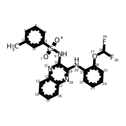 Cc1cccc(S(=O)(=O)Nc2nc3ccccc3nc2Nc2ccccc2OC(F)F)c1